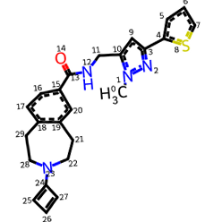 Cn1nc(-c2cccs2)cc1CNC(=O)c1ccc2c(c1)CCN(C1=CC=C1)CC2